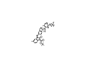 Cc1ccc2c(c1)[C@]1(C[C@H]1c1ccc3c(c1)CN=C3Nc1nc(N3CC(F)(F)C3)ncc1C)C(=O)N2C(=O)OC(C)(C)C